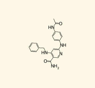 CC(=O)Nc1ccc(Nc2cc(NCc3ccccc3)c(C(N)=O)cn2)cc1